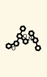 c1ccc(-c2ccc3c4ccccc4n(-c4cccc5c4oc4c(-c6ccccc6)ccc(-c6ccc7oc8ccccc8c7c6)c45)c3c2)cc1